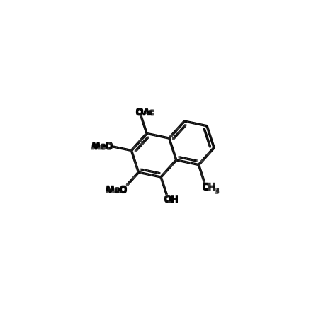 COc1c(OC)c(O)c2c(C)cccc2c1OC(C)=O